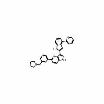 c1ccc(-c2cccc3[nH]c(-c4n[nH]c5ccc(-c6cncc(CN7CCCC7)c6)nc45)cc23)nc1